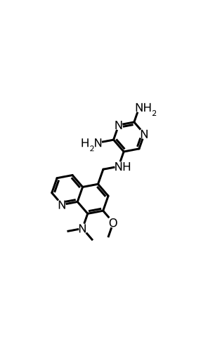 COc1cc(CNc2cnc(N)nc2N)c2cccnc2c1N(C)C